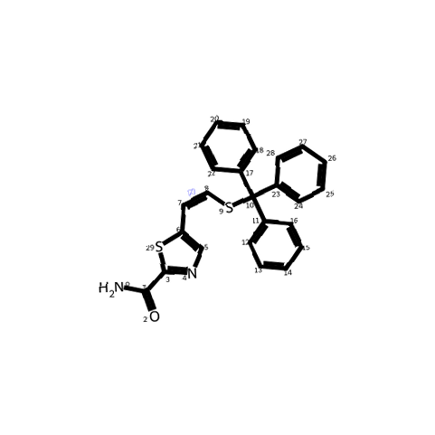 NC(=O)c1ncc(/C=C\SC(c2ccccc2)(c2ccccc2)c2ccccc2)s1